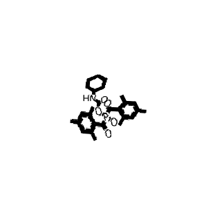 Cc1cc(C)c(C(=O)P(=O)(OC(=O)NC2CCCCC2)C(=O)c2c(C)cc(C)cc2C)c(C)c1